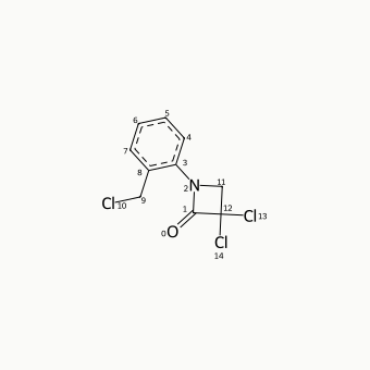 O=C1N(c2ccccc2CCl)CC1(Cl)Cl